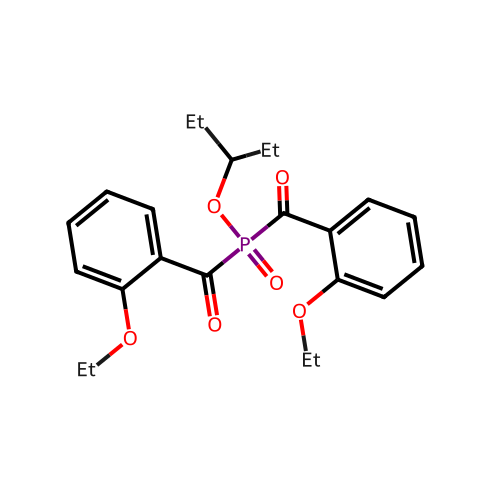 CCOc1ccccc1C(=O)P(=O)(OC(CC)CC)C(=O)c1ccccc1OCC